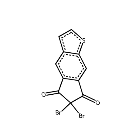 O=C1c2cc3ccsc3cc2C(=O)C1(Br)Br